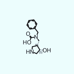 O=C(O)N(Cc1ccccc1)C[C@H]1CNC[C@H]1O